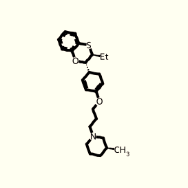 CC[C@@H]1Sc2ccccc2O[C@H]1C1C=CC(OCCCN2CCC[C@H](C)C2)=CC1